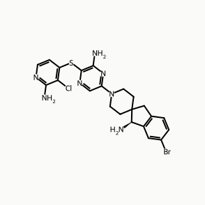 Nc1nc(N2CCC3(CC2)Cc2ccc(Br)cc2[C@H]3N)cnc1Sc1ccnc(N)c1Cl